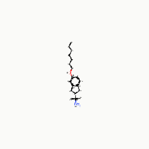 CCCCCCCOc1ccc2c(c1)C[C@H](C(C)(C)N)C2